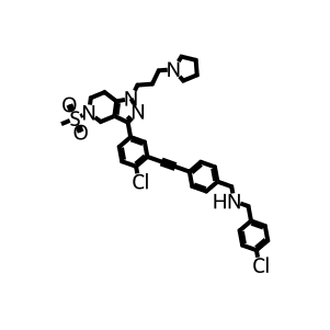 CS(=O)(=O)N1CCc2c(c(-c3ccc(Cl)c(C#Cc4ccc(CNCc5ccc(Cl)cc5)cc4)c3)nn2CCCN2CCCC2)C1